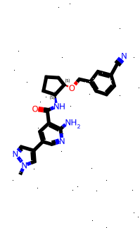 Cn1cc(-c2cnc(N)c(C(=O)N[C@H]3CCC[C@@H]3OCc3cccc(C#N)c3)c2)cn1